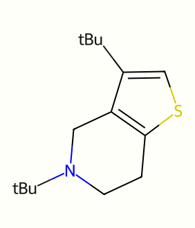 CC(C)(C)c1csc2c1CN(C(C)(C)C)CC2